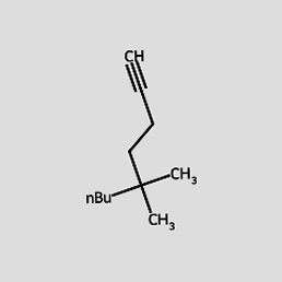 C#CCCC(C)(C)CCC[CH2]